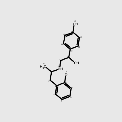 CC(Cc1ccccc1[O])NCC(O)c1ccc(O)cc1